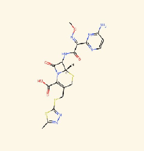 CON=C(C(=O)NC1C(=O)N2C(C(=O)O)=C(CSc3nnc(C)s3)CS[C@@H]12)c1nccc(N)n1